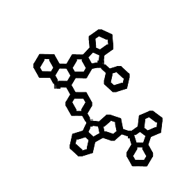 c1ccc(-n2c3ccccc3c3cc4c(cc32)c(-c2ccc(-n3c5ccccc5c5cc(-n6c7ccccc7c7ccccc76)ccc53)cc2)nc2ccccc24)cc1